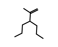 C=C(C)C(CCC)CCC